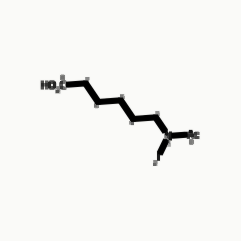 CC(=O)N(I)CCCCCC(=O)O